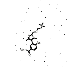 [C-]#[N+]c1ccc(C(=O)OC)cc1-c1c(C)nn(COCC[Si](C)(C)C)c1C